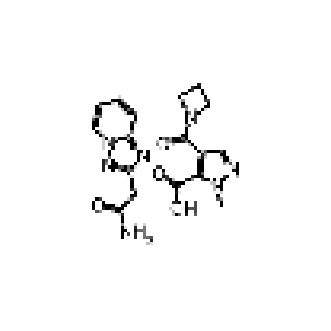 Cn1ncc(C(=O)N2CCC2)c1C(=O)O.NC(=O)Cc1nc2ccccn2n1